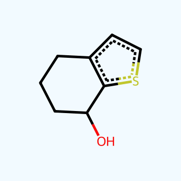 OC1CCCc2ccsc21